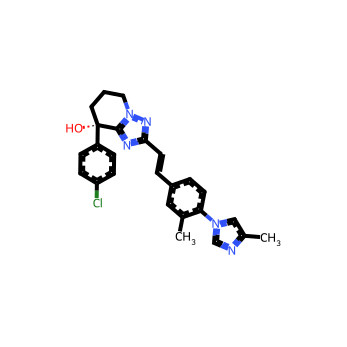 Cc1cn(-c2ccc(/C=C/c3nc4n(n3)CCC[C@]4(O)c3ccc(Cl)cc3)cc2C)cn1